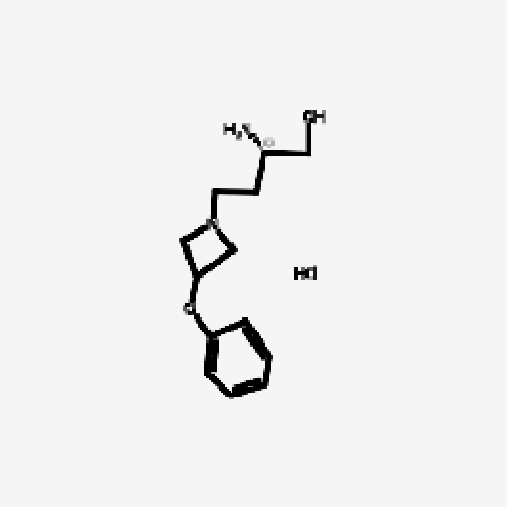 Cl.N[C@H](CO)CCN1CC(Oc2ccccc2)C1